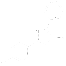 Clc1ccc(-c2nc(-c3ccccn3)c(Br)s2)cc1